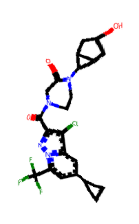 O=C(c1nn2c(C(F)(F)F)cc(C3CC3)cc2c1Cl)N1CCN(C2C3CC(O)CC32)C(=O)C1